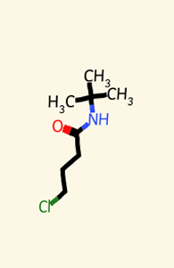 CC(C)(C)NC(=O)CCCCl